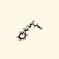 CN(CCC#N)CCOCCN1CCCCC1